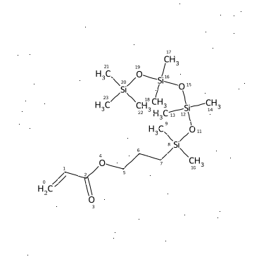 C=CC(=O)OCCC[Si](C)(C)O[Si](C)(C)O[Si](C)(C)O[Si](C)(C)C